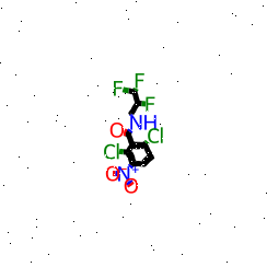 O=C(NCC(F)C(F)F)c1c(Cl)ccc([N+](=O)[O-])c1Cl